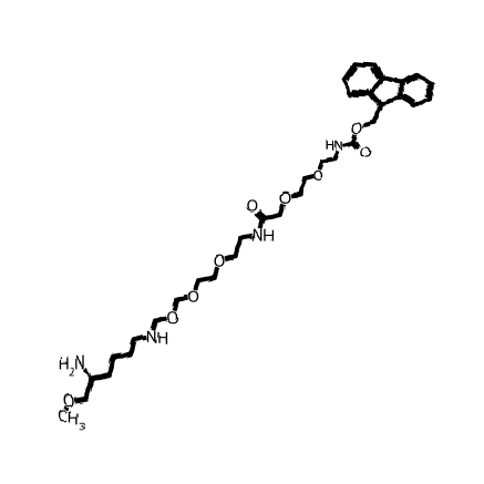 COC[C@@H](N)CCCCNCOCOCCOCCNC(=O)COCCOCCNC(=O)OCC1c2ccccc2-c2ccccc21